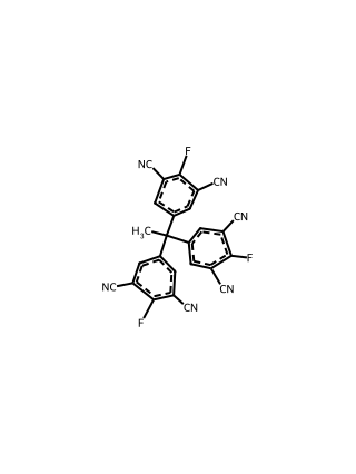 CC(c1cc(C#N)c(F)c(C#N)c1)(c1cc(C#N)c(F)c(C#N)c1)c1cc(C#N)c(F)c(C#N)c1